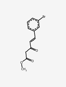 COC(=O)CC(=O)C=Cc1cccc(Br)c1